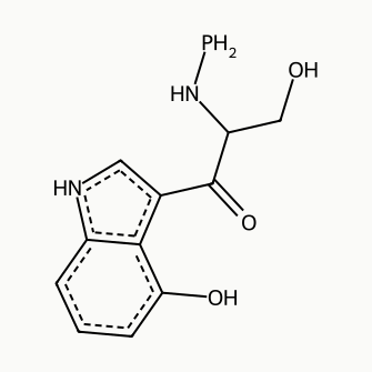 O=C(c1c[nH]c2cccc(O)c12)C(CO)NP